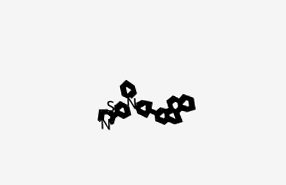 c1ccc(N(c2ccc(-c3ccc4ccc5c6ccccc6ccc5c4c3)cc2)c2ccc3c(c2)sc2ccncc23)cc1